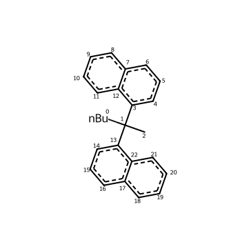 C[CH]CCC(C)(c1cccc2ccccc12)c1cccc2ccccc12